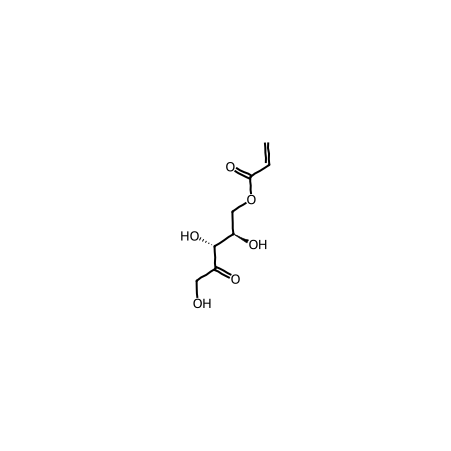 C=CC(=O)OC[C@@H](O)[C@@H](O)C(=O)CO